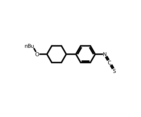 CCCCOC1CCC(c2ccc(N=C=S)cc2)CC1